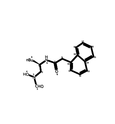 CCCC[C@H](CN(O)C=O)NC(=O)Cc1cccc2ccccc12